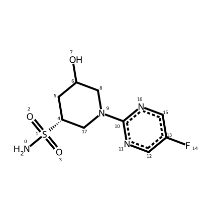 NS(=O)(=O)[C@@H]1CC(O)CN(c2ncc(F)cn2)C1